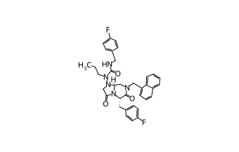 CCCN(C(=O)NCc1ccc(F)cc1)N1CC(=O)N2[C@@H](Cc3ccc(F)cc3)C(=O)N(Cc3cccc4ccccc34)C[C@@H]21